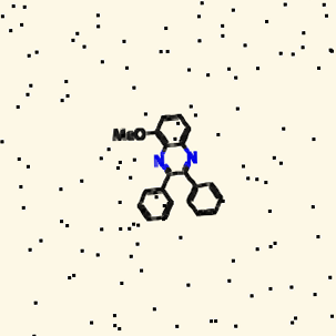 COc1cccc2nc(-c3ccccc3)c(-c3ccccc3)nc12